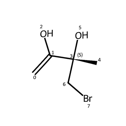 C=C(O)[C@](C)(O)CBr